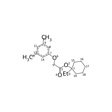 CCC1(OC(=O)COc2cc(C)cc(C)c2)CCCCC1